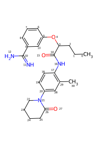 CCCC(Oc1cccc(C(=N)N)c1)C(=O)Nc1ccc(N2CCCCC2=O)cc1C